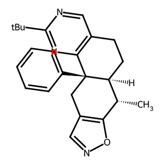 C[C@@H]1c2oncc2C[C@]2(c3ccccc3)c3nc(C(C)(C)C)ncc3CC[C@@H]12